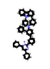 C1=CCC(C2=CC(C3C=CC=CC3)=NC(c3cccc(-c4ccc(Nc5cccc(-c6cccc7c8ccccc8n(-c8ccccc8)c67)c5)c(-c5ccccc5)c4)c3)N2)C=C1